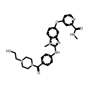 CNC(=O)c1cc(Oc2ccc3c(c2)nc(Nc2ccc(C(=O)N4CCN(CCO)CC4)cc2)n3C)ccn1